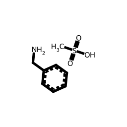 CS(=O)(=O)O.NCc1ccccc1